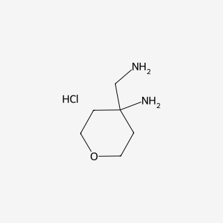 Cl.NCC1(N)CCOCC1